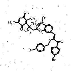 CC1=CC(=O)C(C)=C(C(C)(C)CC(=O)Oc2cc(C=C(SCc3ccc(Br)cc3)C(=O)c3ccc(Br)cc3)ccc2[N+](=O)[O-])C1=O